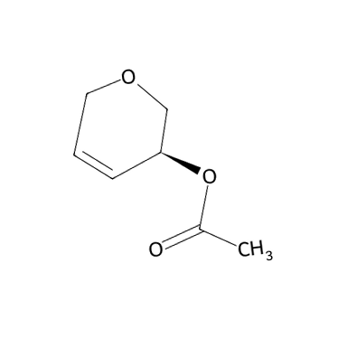 CC(=O)O[C@H]1C=CCOC1